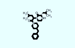 CC(C)CC(C(=O)N1CCC(Cc2ccccc2)CC1)N1CCN[C@@H](CC(C)C)C1=O